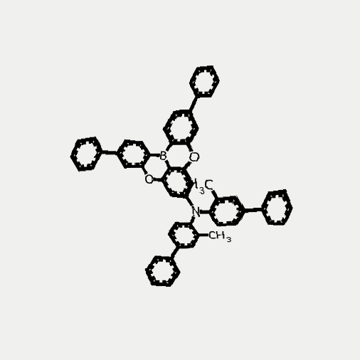 Cc1cc(-c2ccccc2)ccc1N(c1cc2c3c(c1)Oc1cc(-c4ccccc4)ccc1B3c1ccc(-c3ccccc3)cc1O2)c1ccc(-c2ccccc2)cc1C